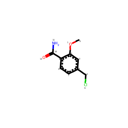 COc1cc(CCl)ccc1C(N)=O